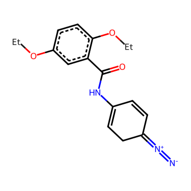 CCOc1ccc(OCC)c(C(=O)NC2=CCC(=[N+]=[N-])C=C2)c1